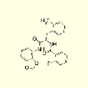 Cc1ccccc1CC(NC(=O)c1ccccc1F)C(=O)Nc1cccc2c1OCO2